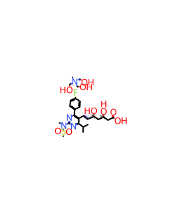 CC(C)c1nc(N(C)S(C)(=O)=O)nc(-c2ccc(F)cc2)c1/C=C/[C@@H](O)C[C@@H](O)CC(=O)O.C[N+](CO)(CO)CO